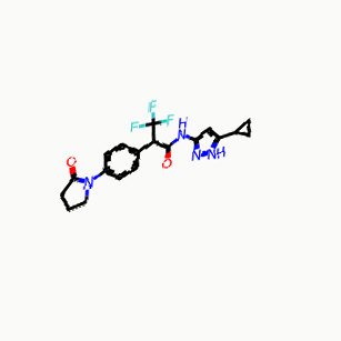 O=C(Nc1cc(C2CC2)[nH]n1)C(c1ccc(N2CCCC2=O)cc1)C(F)(F)F